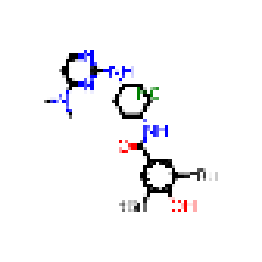 CN(C)c1ccnc(N[C@H]2CC[C@@H](NC(=O)c3cc(C(C)(C)C)c(O)c(C(C)(C)C)c3)CC2)n1.Cl